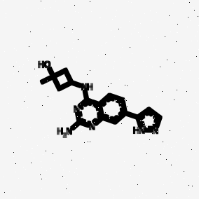 CC1(O)CC(Nc2nc(N)nc3cc(-c4ccn[nH]4)ccc23)C1